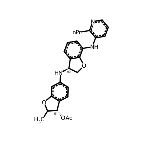 CCCc1ncccc1Nc1cccc2c1OC[C@H]2Nc1ccc2c(c1)OC(C)[C@H]2OC(C)=O